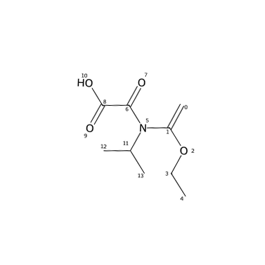 C=C(OCC)N(C(=O)C(=O)O)C(C)C